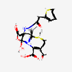 O=CC1=C(C(=O)O)N2[C@@H](SC1)[C@@]1(NC(=O)Cc3cccs3)C(=O)OC21O